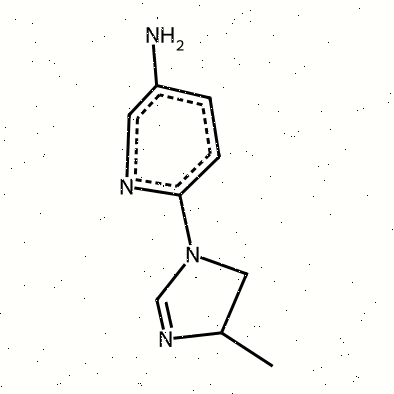 CC1CN(c2ccc(N)cn2)C=N1